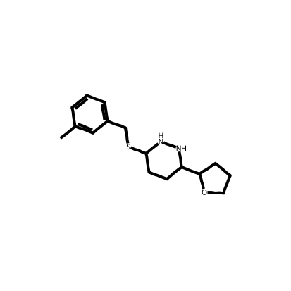 Cc1cccc(CSC2CCC(C3CCCO3)NN2)c1